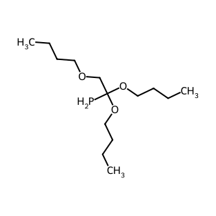 CCCCOCC(P)(OCCCC)OCCCC